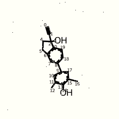 C#CC1(O)CCc2cc(-c3cc(C)c(O)c(C)c3)ccc21